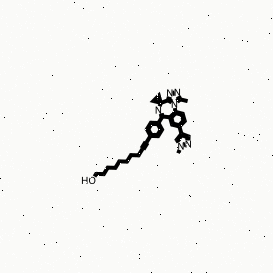 Cc1nnc2n1-c1ccc(-c3cnn(C)c3)cc1C(c1ccc(C#CCCCCCCCCO)cc1)=NC21CC1